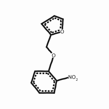 O=[N+]([O-])c1ccccc1OCc1ccco1